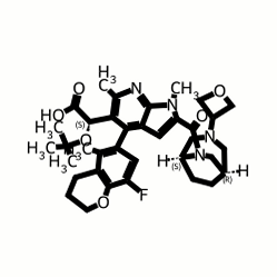 Cc1nc2c(cc(C(=O)N3C[C@@H]4CC[C@H]3CN(C3COC3)C4)n2C)c(-c2cc(F)c3c(c2C)CCCO3)c1[C@H](OC(C)(C)C)C(=O)O